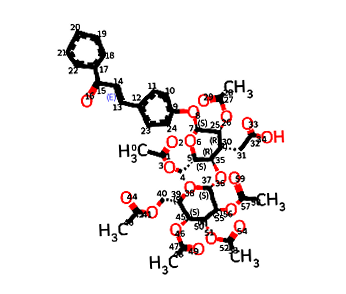 CC(=O)OC[C@@H]1O[C@@H](Oc2ccc(/C=C/C(=O)c3ccccc3)cc2)[C@H](OC(C)=O)[C@H](CC(=O)O)[C@H]1O[C@H]1O[C@@H](COC(C)=O)[C@H](OC(C)=O)[C@@H](OC(C)=O)[C@@H]1OC(C)=O